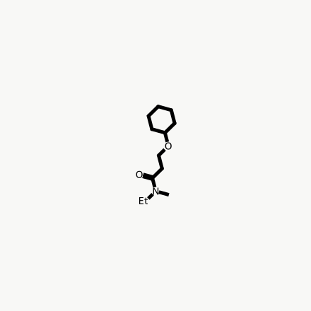 CCN(C)C(=O)CCOC1CCCCC1